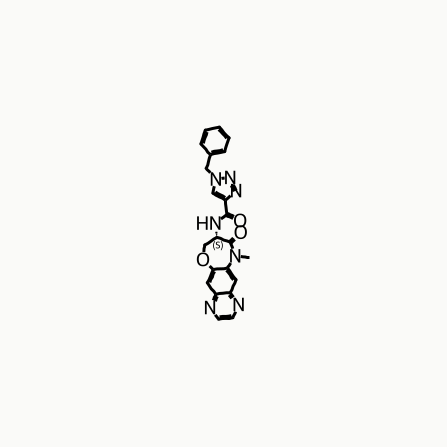 CN1C(=O)[C@@H](NC(=O)c2cn(Cc3ccccc3)nn2)COc2cc3nccnc3cc21